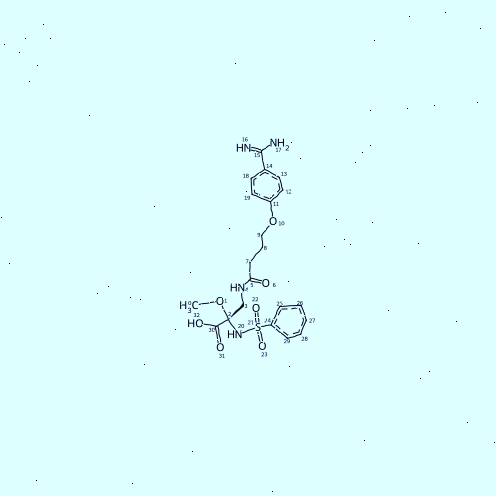 CO[C@](CNC(=O)CCCOc1ccc(C(=N)N)cc1)(NS(=O)(=O)c1ccccc1)C(=O)O